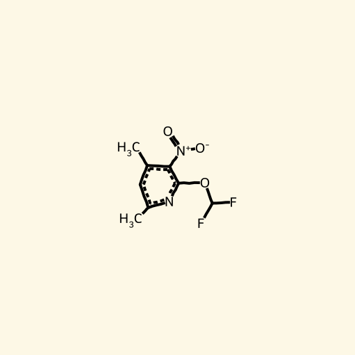 Cc1cc(C)c([N+](=O)[O-])c(OC(F)F)n1